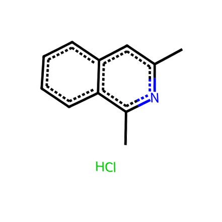 Cc1cc2ccccc2c(C)n1.Cl